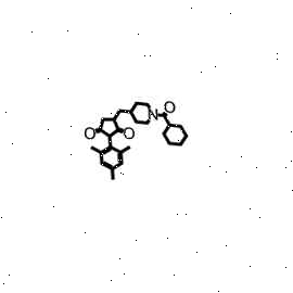 Cc1cc(C)c(C2C(=O)CC(CC3CCN(C(=O)C4CCCCC4)CC3)C2=O)c(C)c1